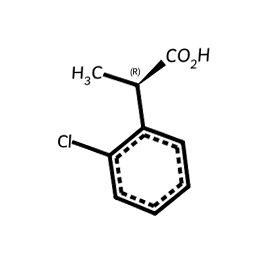 C[C@@H](C(=O)O)c1ccccc1Cl